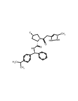 CC(C)c1ccc([C@@H](NC(=O)[C@@H]2C[C@@H](F)CN2C(=O)CC2=CN(C)NN2)c2ccccc2)cc1